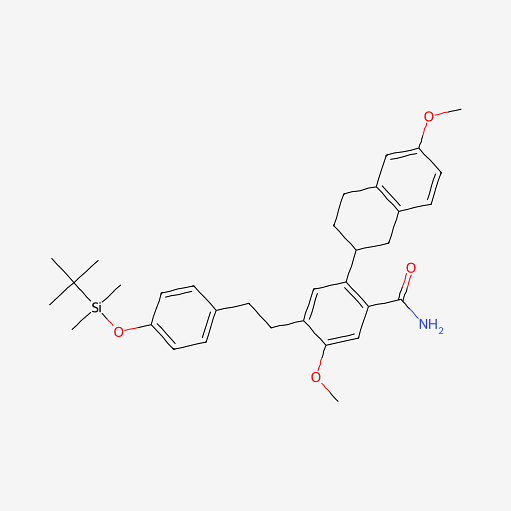 COc1ccc2c(c1)CCC(c1cc(CCc3ccc(O[Si](C)(C)C(C)(C)C)cc3)c(OC)cc1C(N)=O)C2